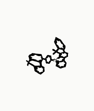 CC1(C)c2ccccc2-c2c(-c3ccc(-n4c5ccccc5c5ccc6c(c54)C(C)(C)c4ccccc4-6)cc3)cccc21